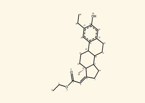 CCOC(=O)/C=C1/CCC2C3CCc4cc(O)c(CC)cc4C3CC[C@]12C